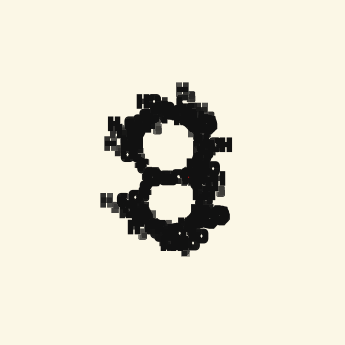 CC(C[C@@H]1NC(O)[C@H](Cc2ccccc2)NC(=O)[C@H](CC(=O)O)NC(=O)[C@H](CCC(=O)O)NC(=O)[C@H]2CSCc3cc(cc(c3)CSC[C@H](NC(=O)[C@H](C)N)C(=O)N[C@H](C)C(=O)N[C@@H](CC(N)=O)C(=O)N[C@@H](CCC(=O)O)C(=O)N[C@@H](Cc3cccc4ccccc34)C(=O)N[C@H](C)C(=O)N2)CSC[C@@H](C(N)=O)NC(=O)[C@H](C(C)(C)C)NC(=O)[C@H](CC(=O)O)NC1=O)[C@@H](C)O